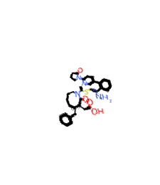 C=C(S/C=C(\N)c1ccccc1-c1ccc(N2CCCC2=O)nc1)N1CCCC[C@H](Cc2ccccc2)[C@H](CC(=O)O)C1=O